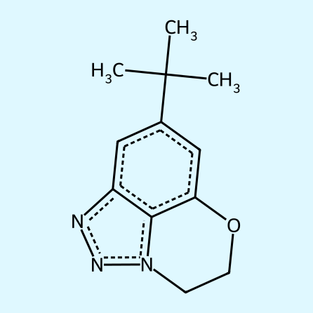 CC(C)(C)c1cc2c3c(c1)nnn3CCO2